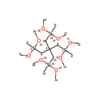 CO[Si](C)(CC(C[Si](C)(OC)OC)(C[Si](C)(OC)OC)C[Si](C)(OC)OC)OC